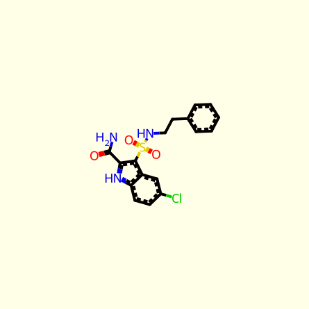 NC(=O)c1[nH]c2ccc(Cl)cc2c1S(=O)(=O)NCCc1ccccc1